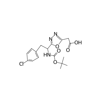 CC(C)(C)OC(=O)NC(Cc1ccc(Cl)cc1)c1nnc(CC(=O)O)o1